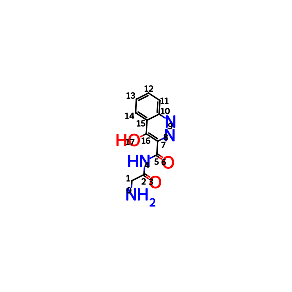 NCC(=O)NC(=O)c1nnc2ccccc2c1O